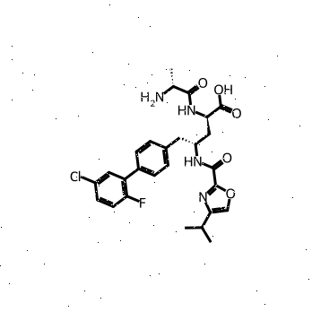 CC(C)c1coc(C(=O)N[C@H](Cc2ccc(-c3cc(Cl)ccc3F)cc2)C[C@@H](NC(=O)[C@@H](C)N)C(=O)O)n1